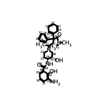 CC(CC(C(=O)N(C)C)(c1ccccc1)c1ccccc1)N1CC[C@H](NC(=O)c2cccc(N)c2O)[C@@H](O)C1